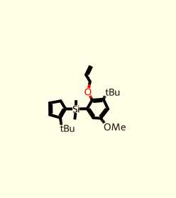 C=CCOc1c(C(C)(C)C)cc(OC)cc1[Si](C)(C)C1=C(C(C)(C)C)C=CC1